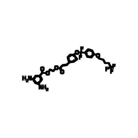 Nc1cc(N)cc(C(=O)OCCOC(=O)C=Cc2ccc(OC(F)(F)c3ccc(OCCCCC(F)(F)F)cc3)cc2)c1